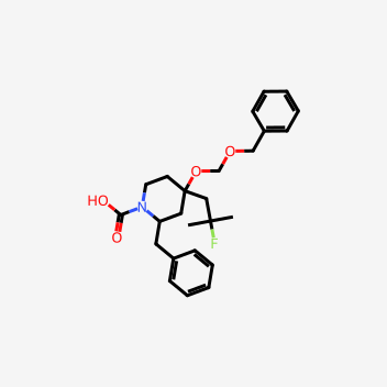 CC(C)(F)CC1(OCOCc2ccccc2)CCN(C(=O)O)C(Cc2ccccc2)C1